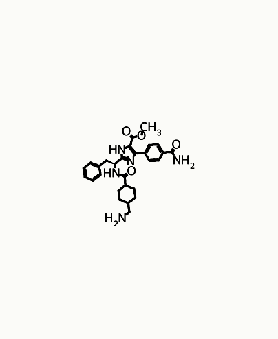 COC(=O)c1[nH]c([C@H](Cc2ccccc2)NC(=O)C2CCC(CN)CC2)nc1-c1ccc(C(N)=O)cc1